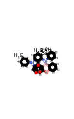 CC1C=C(n2c3ccccc3c3c4c(ccc32)[Si](C)(C)c2ccccc2N4B2c3ccccc3Oc3ccccc32)C=CC1